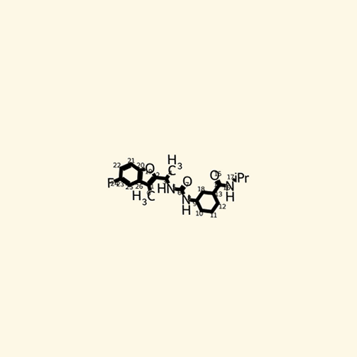 Cc1c(C(C)NC(=O)NC2CCCC(C(=O)NC(C)C)C2)oc2ccc(F)cc12